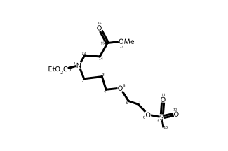 CCOC(=O)N(CCCOCCOS(C)(=O)=O)CCC(=O)OC